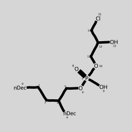 CCCCCCCCCCCCC(CCCCCCCCCC)COP(=O)(O)OCC(O)CCl